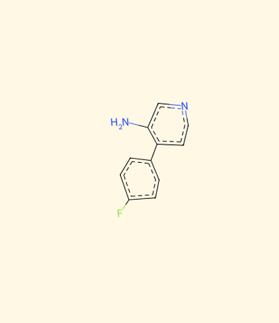 Nc1cnccc1-c1ccc(F)cc1